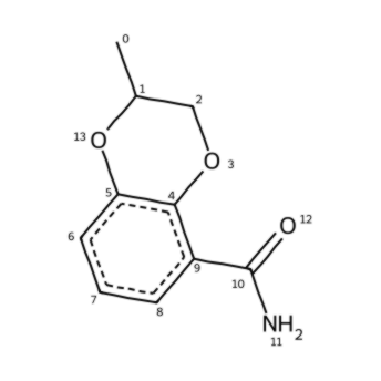 CC1COc2c(cccc2C(N)=O)O1